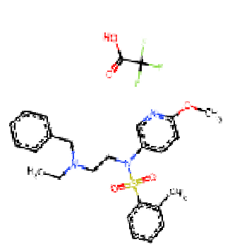 CCN(CCN(c1ccc(OC)nc1)S(=O)(=O)c1ccccc1C)Cc1ccccc1.O=C(O)C(F)(F)F